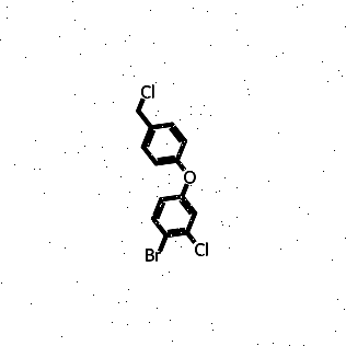 ClCc1ccc(Oc2ccc(Br)c(Cl)c2)cc1